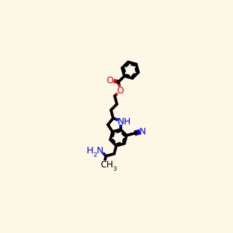 CC(N)Cc1cc(C#N)c2c(c1)CC(CCCOC(=O)c1ccccc1)N2